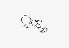 CCC[C@@H]1CCCCCCc2cc1c(/C=C1/N=C(c3ccc[nH]3)C=C1OC)[nH]2